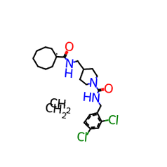 O=C(NCC1CCN(C(=O)NCc2ccc(Cl)cc2Cl)CC1)[C]1CCCCCCC1.[CH2].[CH2]